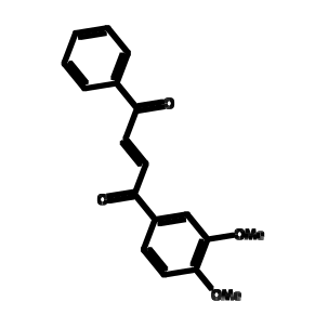 COc1ccc(C(=O)C=CC(=O)c2ccccc2)cc1OC